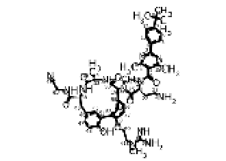 Cc1nc(-c2ccc(C(C)(C)C)cc2)nc(C)c1C(=O)N[C@@H](CCN)C(=O)N(C)[C@@H]1C(=O)N[C@@H](C)C(=O)N[C@H](C(=O)NCC#N)Cc2ccc(O)c(c2)-c2cc1ccc2OCCN(C)C(=N)N